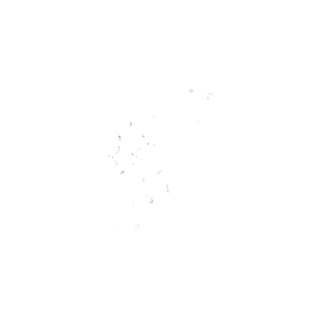 CN1CCC(COc2ccc3ncc(C4C=C(OC(F)(F)F)C=CC4)n3n2)CC1